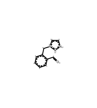 O=Cc1ccccc1Cn1ccnn1